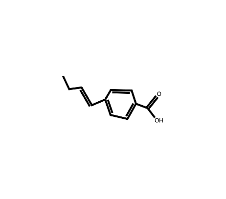 CCC=Cc1ccc(C(=O)O)cc1